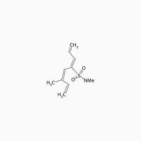 C=C/C=C(\C=C(\C)C=C)S(=O)(=O)NC